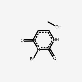 CO.O=c1cc[nH]c(=O)n1Br